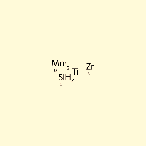 [Mn].[SiH4].[Ti].[Zr]